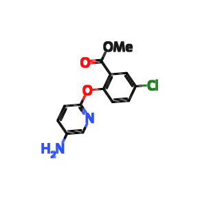 COC(=O)c1cc(Cl)ccc1Oc1ccc(N)cn1